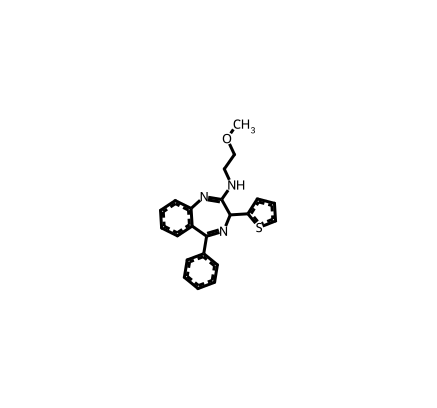 COCCNC1=Nc2ccccc2C(c2ccccc2)=NC1c1cccs1